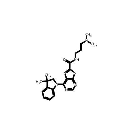 CN(C)CCCNC(=O)c1nc2c(N3CC(C)(C)c4ccccc43)ncnc2s1